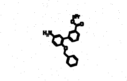 CCCOC(=O)c1cccc(-c2cc(N)ccc2OCc2ccccc2)c1